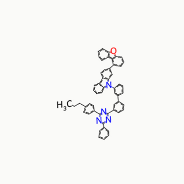 CCCc1ccc(-c2nc(-c3ccccc3)nc(-c3cccc(-c4cccc(-n5c6ccccc6c6ccc(-c7cccc8oc9ccccc9c78)cc65)c4)c3)n2)cc1